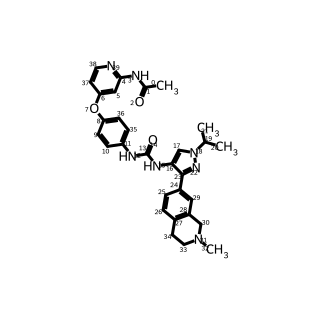 CC(=O)Nc1cc(Oc2ccc(NC(=O)Nc3cn(C(C)C)nc3-c3ccc4c(c3)CN(C)CC4)cc2)ccn1